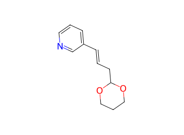 C(=Cc1cccnc1)CC1OCCCO1